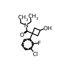 CCN(CC)C(=O)C1(c2cccc(Cl)c2F)CC(O)C1